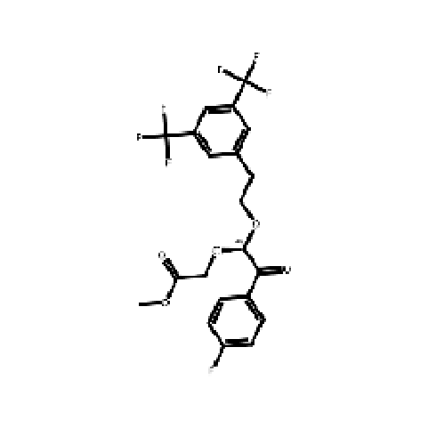 COC(=O)CO[C@@H](OCCc1cc(C(F)(F)F)cc(C(F)(F)F)c1)C(=O)c1ccc(F)cc1